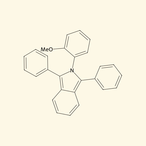 COc1ccccc1-n1c(-c2ccccc2)c2ccccc2c1-c1ccccc1